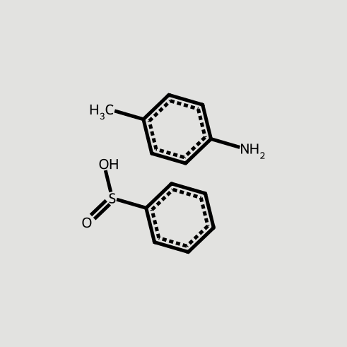 Cc1ccc(N)cc1.O=S(O)c1ccccc1